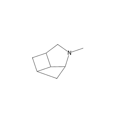 CN1CC2CC3CC1C32